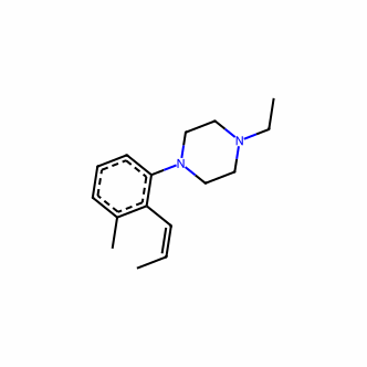 C/C=C\c1c(C)cccc1N1CCN(CC)CC1